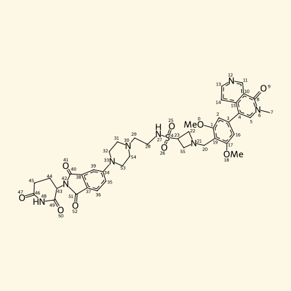 COc1cc(-c2cn(C)c(=O)c3cnccc23)cc(OC)c1CN1CC(S(=O)(=O)NCCN2CCN(c3ccc4c(c3)C(=O)N(C3CCC(=O)NC3=O)C4=O)CC2)C1